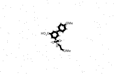 COCCNS(=O)(=O)c1cc(C(=O)O)cc(-c2ccc(OC)cc2)c1